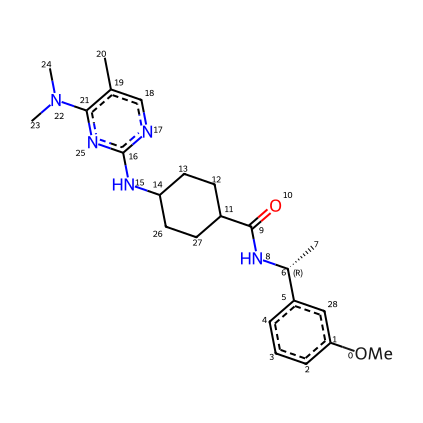 COc1cccc([C@@H](C)NC(=O)C2CCC(Nc3ncc(C)c(N(C)C)n3)CC2)c1